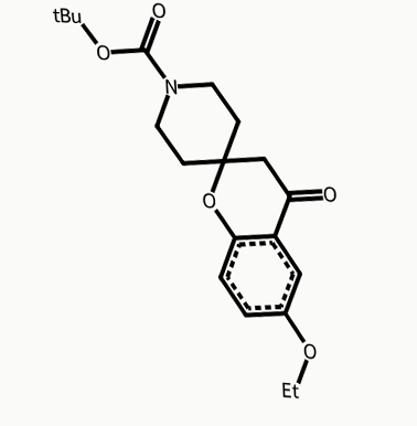 CCOc1ccc2c(c1)C(=O)CC1(CCN(C(=O)OC(C)(C)C)CC1)O2